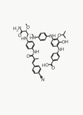 CO[C@@H](C(N)=O)[C@H](CNc1ccc(Nc2ccc(Nc3ccc(C(=O)O)cc3)c(O)c2OC(C)C)cc1)Nc1ccc(NC(=O)/C(C)=C/c2ccc(C#N)cc2)cc1